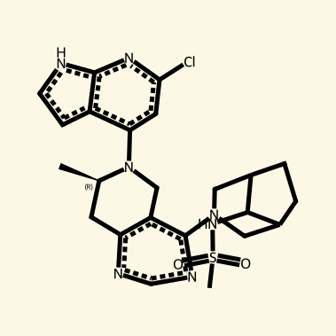 C[C@@H]1Cc2ncnc(N3CC4CCC(C3)C4NS(C)(=O)=O)c2CN1c1cc(Cl)nc2[nH]ccc12